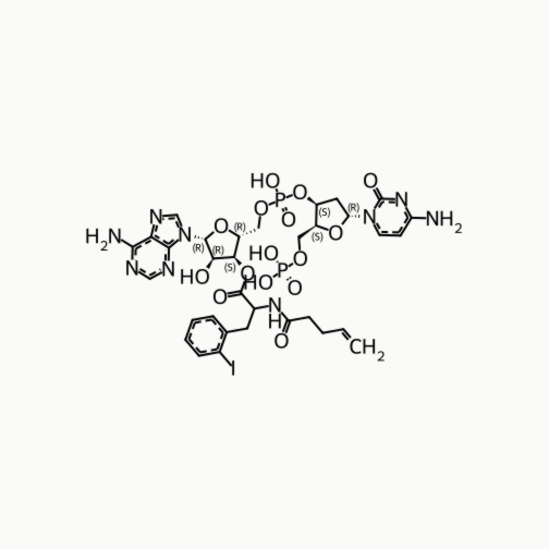 C=CCCC(=O)NC(Cc1ccccc1I)C(=O)O[C@H]1[C@@H](O)[C@H](n2cnc3c(N)ncnc32)O[C@@H]1COP(=O)(O)O[C@H]1C[C@H](n2ccc(N)nc2=O)O[C@H]1COP(=O)(O)O